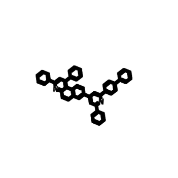 c1ccc(-c2ccc(-c3cc(-c4ccc5c(ccc6nc(-c7ccccc7)cc(-c7ccccc7)c65)c4)cc(-c4ccccc4)n3)cc2)cc1